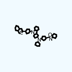 c1ccc(N(c2ccc(-c3nc4ccccc4o3)cc2)c2ccc3c(c2)c2ccccc2n3-c2ccc(-c3ccc4ccccc4c3)cc2)cc1